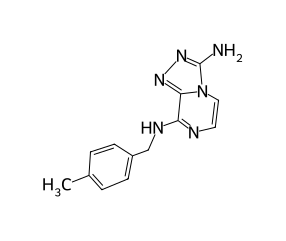 Cc1ccc(CNc2nccn3c(N)nnc23)cc1